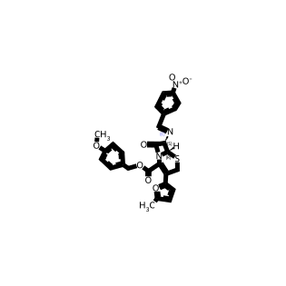 COc1ccc(COC(=O)C2=C(c3ccc(C)o3)CS[C@@H]3[C@@H](/N=C/c4ccc([N+](=O)[O-])cc4)C(=O)N23)cc1